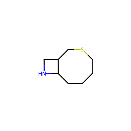 C1CCC2NCC2CSC1